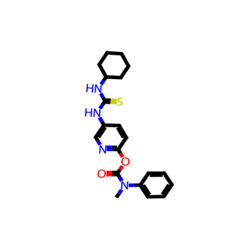 CN(C(=O)Oc1ccc(NC(=S)NC2CCCCC2)cn1)c1ccccc1